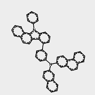 c1ccc(-n2c3cccc(-c4cccc(N(c5ccc6ccccc6c5)c5ccc6c(ccc7ccccc76)c5)c4)c3c3ccc4ccccc4c32)cc1